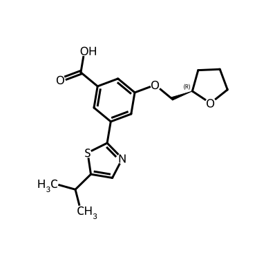 CC(C)c1cnc(-c2cc(OC[C@H]3CCCO3)cc(C(=O)O)c2)s1